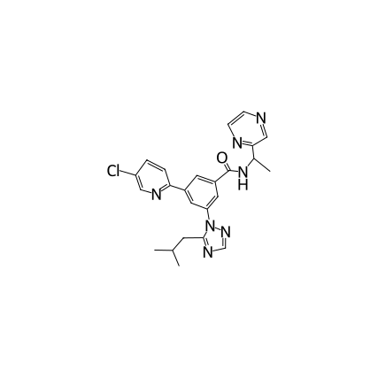 CC(C)Cc1ncnn1-c1cc(C(=O)NC(C)c2cnccn2)cc(-c2ccc(Cl)cn2)c1